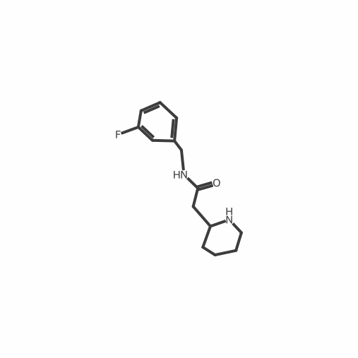 O=C(CC1CCCCN1)NCc1cccc(F)c1